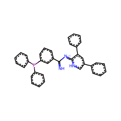 N=C(/N=c1\[nH]cc(-c2ccccc2)cc1-c1ccccc1)c1cccc(P(c2ccccc2)c2ccccc2)c1